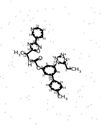 CCc1nnnn1-c1cc(OC(=O)NC(C)c2nc(-c3cccnc3)no2)cc(-c2ccc(C)cc2)c1